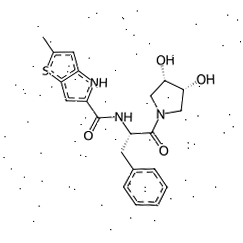 Cc1cc2[nH]c(C(=O)N[C@@H](Cc3ccccc3)C(=O)N3C[C@@H](O)[C@@H](O)C3)cc2s1